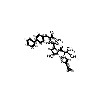 CC(C)C(C(=O)N1CC(O)CC1C(=O)NC(Cc1ccc(-c2ccccc2)cc1)C(N)=O)n1cc(C2CC2)nn1